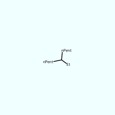 CCCCCC(CC)CCCCC